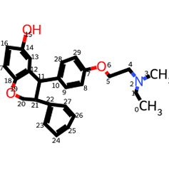 CCN(C)CCOc1ccc(C2c3cc(O)ccc3OCC2c2ccccc2)cc1